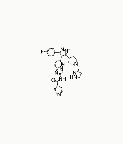 Cn1nc(-c2ccc(F)cc2)c(-c2ccc3nc(NC(=O)c4ccncc4)cn3n2)c1C1CCN(Cc2cc[nH]n2)CC1